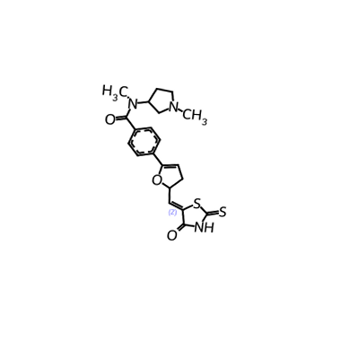 CN1CCC(N(C)C(=O)c2ccc(C3=CCC(/C=C4\SC(=S)NC4=O)O3)cc2)C1